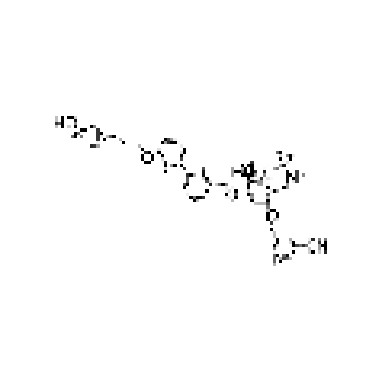 Cc1c(COc2cc(OCc3cncc(C#N)c3)c(CN(C)C3(C(=O)O)CC3)cc2Cl)cccc1-c1cccc(OCCCN2CC[C@@H](O)C2)c1C